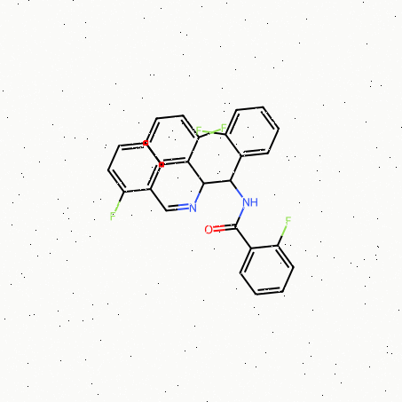 O=C(NC(c1ccccc1F)C(/N=C\c1ccccc1F)c1ccccc1F)c1ccccc1F